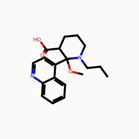 CCCN1CCCC(C(=O)O)C1(OC)c1ccnc2ccccc12